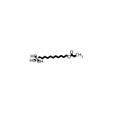 C=CC(=O)OCCCCCCCCCCC[Si](O)(O)O